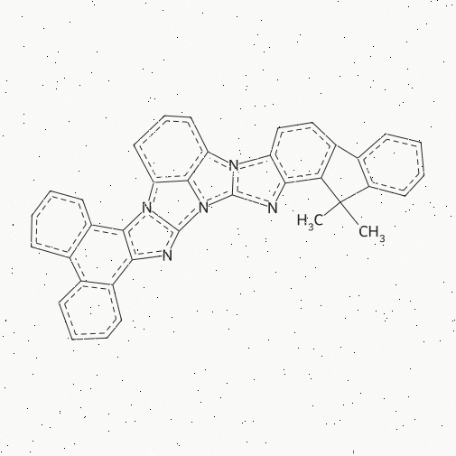 CC1(C)c2ccccc2-c2ccc3c(nc4n3c3cccc5c3n4c3nc4c6ccccc6c6ccccc6c4n53)c21